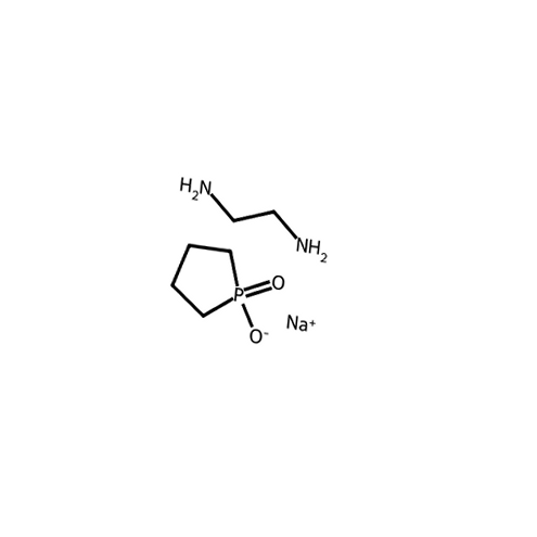 NCCN.O=P1([O-])CCCC1.[Na+]